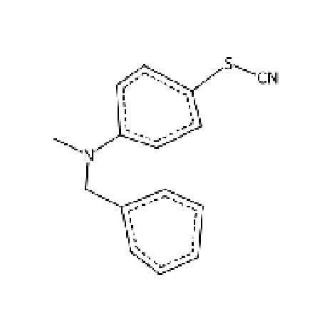 CN(Cc1ccccc1)c1ccc(SC#N)cc1